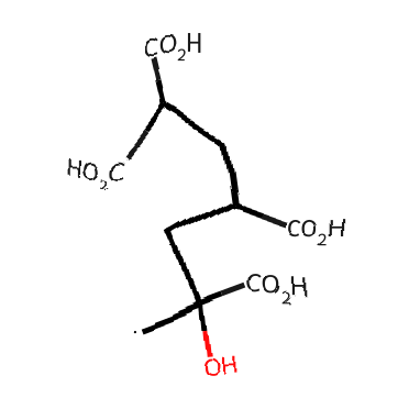 [CH2]C(O)(CC(CC(C(=O)O)C(=O)O)C(=O)O)C(=O)O